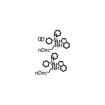 CCCCCCCCCCCC[NH][Hf+]([CH]1C=Cc2ccccc21)[SiH](c1ccccc1)c1ccccc1.CCCCCCCCCCCC[NH][Hf+]([CH]1C=Cc2ccccc21)[SiH](c1ccccc1)c1ccccc1.[Cl-].[Cl-]